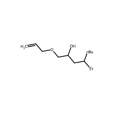 C=CCOCC(O)CC(CC)CCCC